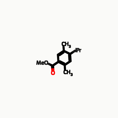 COC(=O)c1cc(C)c(C(C)C)cc1C